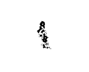 CC(N)C(=O)Nc1ccc2c(c1)CC[C@]21NC(=O)N(CC(=O)N(Cc2ccccc2)C(C)C2CC2)C1=O